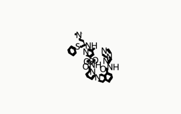 Cc1cc(S(=O)(=O)NC(=O)c2cccc(N3CCc4cccc(C(=O)Nc5cn6ccncc6n5)c4C3)n2)cnc1N[C@H](CCN(C)C)CSc1ccccc1